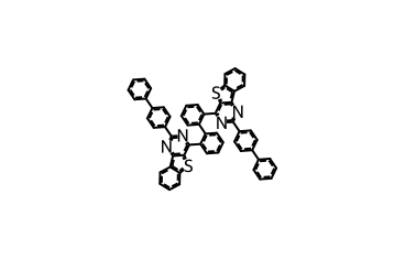 c1ccc(-c2ccc(-c3nc(-c4ccccc4-c4ccccc4-c4nc(-c5ccc(-c6ccccc6)cc5)nc5c4sc4ccccc45)c4sc5ccccc5c4n3)cc2)cc1